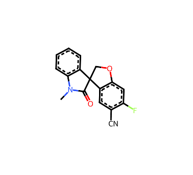 CN1C(=O)C2(COc3cc(F)c(C#N)cc32)c2ccccc21